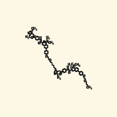 CCCCOCCOc1ccc(-c2ccc([S+]([O-])C(C)C)c(/C=C/C(=O)Nc3ccc([S@@+]([O-])Cc4c(C)ncn4CCCCCCOCCOc4ccc(-c5ccc([S+]([O-])C(C)C)c(/C=C/C(=O)Nc6ccc([S@+]([O-])Cc7c(C)ncn7CC)cc6)c5)cc4)cc3)c2)cc1